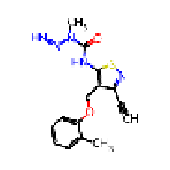 C#Cc1nsc(NC(=O)N(C)N=N)c1COc1ccccc1C